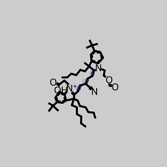 CCCCCCC1(CCCCCC)C(/C=C/C(C#N)=C/C=C2/N(CCOC=O)c3ccc(C(C)(C)C)cc3C2(C)CCCCCC)=[N+](CCC(=O)O)c2ccc(C(C)(C)C)cc21